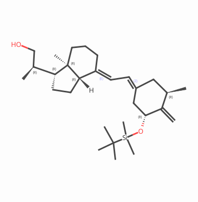 C=C1[C@H](C)C/C(=C/C=C2\CCC[C@]3(C)[C@@H]([C@@H](C)CO)CC[C@@H]23)C[C@H]1O[Si](C)(C)C(C)(C)C